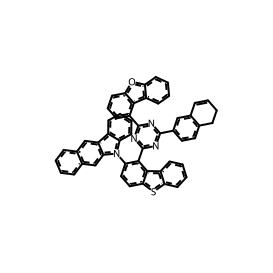 C1=Cc2cc(-c3nc(-c4cccc5oc6ccccc6c45)nc(-c4c(-n5c6ccccc6c6cc7ccccc7cc65)ccc5sc6ccccc6c45)n3)ccc2CC1